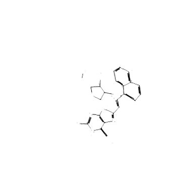 Nc1nc2c(nc(C=Cc3cccc4ccccc34)n2[C@@H]2O[C@H](CO)C(O)C2O)c(=O)[nH]1